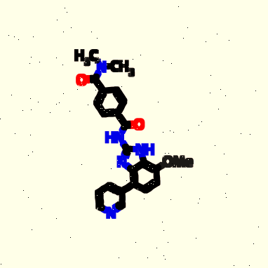 COc1ccc(-c2cccnc2)c2nc(NC(=O)c3ccc(C(=O)N(C)C)cc3)[nH]c12